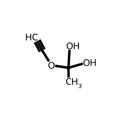 C#COC(C)(O)O